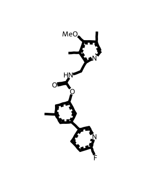 COc1c(C)cnc(CNC(=O)Oc2cc(C)cc(-c3ccc(F)nc3)c2)c1C